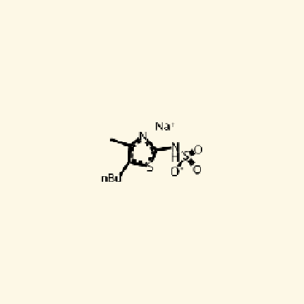 CCCCc1sc(NS(=O)(=O)[O-])nc1C.[Na+]